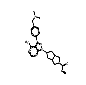 C=CC(=O)N1CC2CC(n3nc(-c4ccc(CN(C)C)cc4)c4c(N)ncnc43)CC2C1